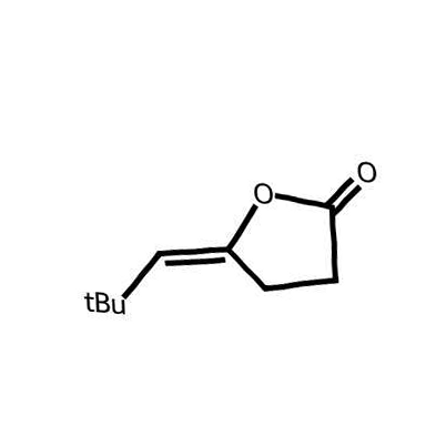 CC(C)(C)/C=C1\CCC(=O)O1